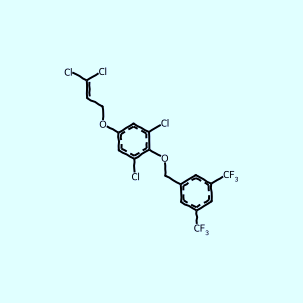 FC(F)(F)c1cc(COc2c(Cl)cc(OCC=C(Cl)Cl)cc2Cl)cc(C(F)(F)F)c1